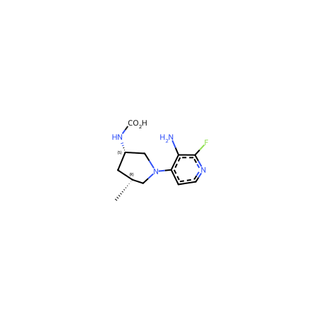 C[C@@H]1C[C@H](NC(=O)O)CN(c2ccnc(F)c2N)C1